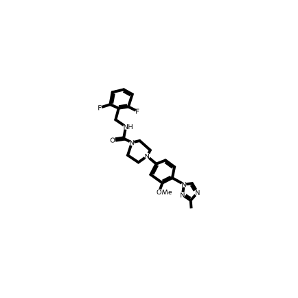 COc1cc(N2CCN(C(=O)NCc3c(F)cccc3F)CC2)ccc1-n1cnc(C)n1